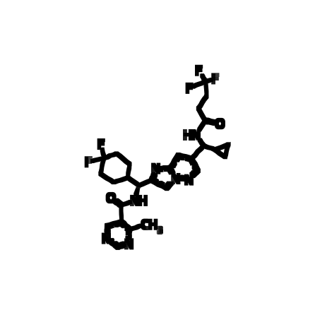 Cc1ncncc1C(=O)N[C@H](c1cn2ncc(C(NC(=O)CCC(F)(F)F)C3CC3)cc2n1)C1CCC(F)(F)CC1